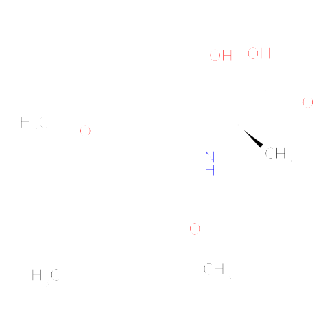 COc1cc(C)cc(OC)c1CN[C@](C)(CO)C(=O)O